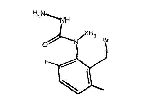 Cc1ccc(F)c(N(N)C(=O)NN)c1CBr